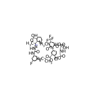 C/C(=N\NC(=O)Nc1cc(F)cc(F)c1)c1ncccc1C(=O)O.CC(C)OC(=O)c1cc(-n2c(=O)cc(C(F)(F)F)n(C)c2=O)ccc1Cl.O=C(O)CNCP(=O)(O)O